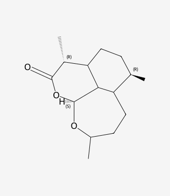 CC1CCC2C3C(CC[C@H]2C)[C@@H](C)C(=O)O[C@@H]3O1